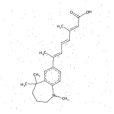 CC(/C=C/C=C(\C)c1ccc2c(c1)C(C)(C)CCCN2C)=C\C(=O)O